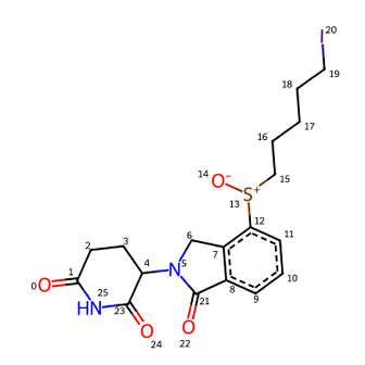 O=C1CCC(N2Cc3c(cccc3[S+]([O-])CCCCCI)C2=O)C(=O)N1